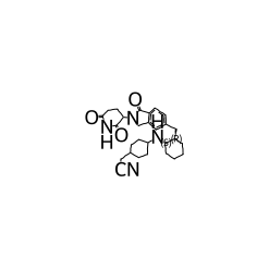 N#CCC1CCC(N[C@H]2CCCC[C@@H]2Cc2ccc3c(c2)CN(C2CCC(=O)NC2=O)C3=O)CC1